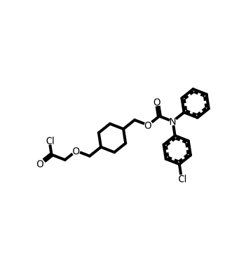 O=C(Cl)COCC1CCC(COC(=O)N(c2ccccc2)c2ccc(Cl)cc2)CC1